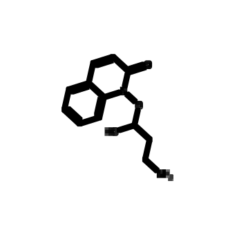 NCCC(O)On1c(=O)ccc2ccccc21